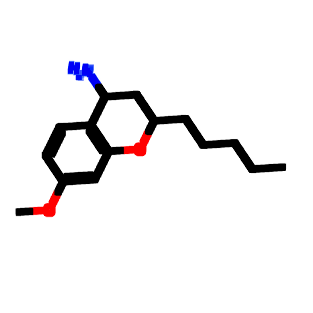 CCCCCC1CC(N)c2ccc(OC)cc2O1